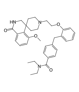 CCN(CC)C(=O)c1ccc(Cc2ccccc2OCCN2CCC3(CC2)CNC(=O)c2cccc(OC)c23)cc1